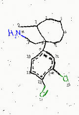 CC1CCCCC1(CN)c1ccc(Cl)c(Cl)c1